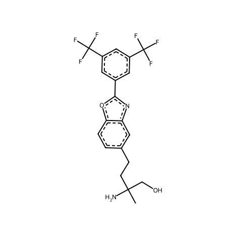 CC(N)(CO)CCc1ccc2oc(-c3cc(C(F)(F)F)cc(C(F)(F)F)c3)nc2c1